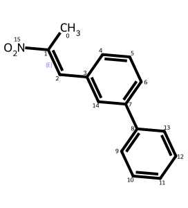 C/C(=C\c1cccc(-c2ccccc2)c1)[N+](=O)[O-]